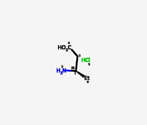 CC[C@@H](N)CC(=O)O.Cl